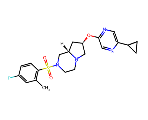 Cc1cc(F)ccc1S(=O)(=O)N1CCN2C[C@H](Oc3cnc(C4CC4)cn3)C[C@H]2C1